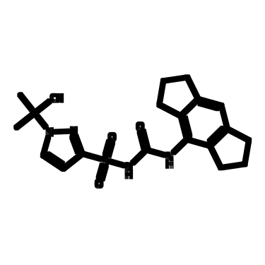 CC(C)(C#N)n1ccc(S(=O)(=O)NC(=O)Nc2c3c(cc4c2CCC4)CCC3)n1